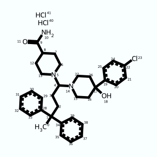 CC(CCC(N1CCC(C(N)=O)CC1)N1CCC(O)(c2ccc(Cl)cc2)CC1)(c1ccccc1)c1ccccc1.Cl.Cl